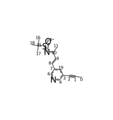 CC#Cc1cncc(C=CC(C)=N[S+]([O-])C(C)(C)C)c1